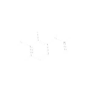 CC(=O)Nc1ccc(C)c(N)c1C